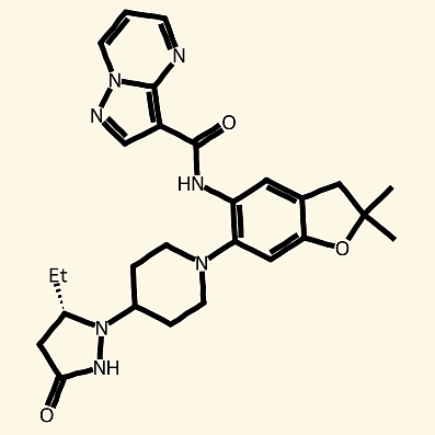 CC[C@H]1CC(=O)NN1C1CCN(c2cc3c(cc2NC(=O)c2cnn4cccnc24)CC(C)(C)O3)CC1